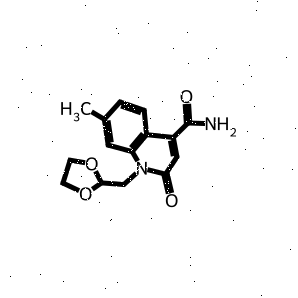 Cc1ccc2c(C(N)=O)cc(=O)n(CC3OCCO3)c2c1